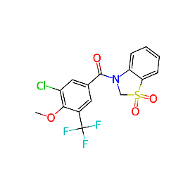 COc1c(Cl)cc(C(=O)N2CS(=O)(=O)c3ccccc32)cc1C(F)(F)F